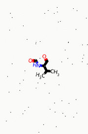 CC(C)C(C=O)NC=O